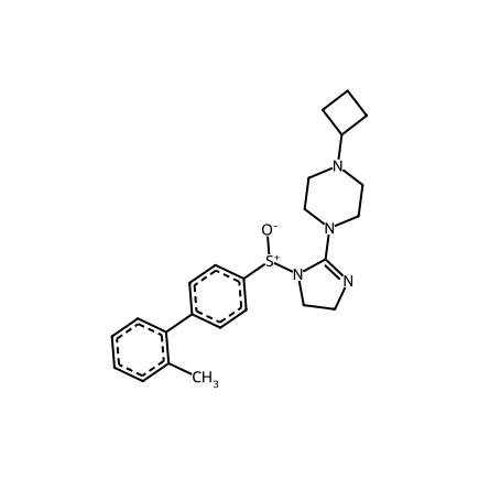 Cc1ccccc1-c1ccc([S+]([O-])N2CCN=C2N2CCN(C3CCC3)CC2)cc1